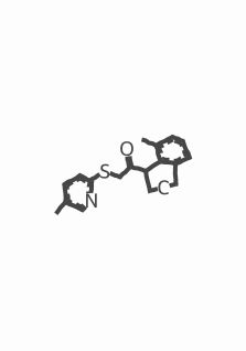 Cc1ccc(SCC(=O)C2CCCc3cccc(C)c32)nc1